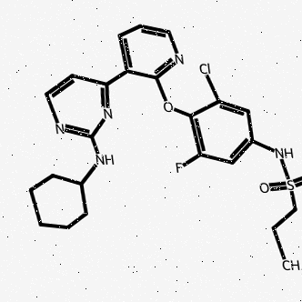 CCCS(=O)(=O)Nc1cc(F)c(Oc2ncccc2-c2ccnc(NC3CCCCC3)n2)c(Cl)c1